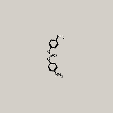 Nc1ccc(OS(=O)Oc2ccc(N)cc2)cc1